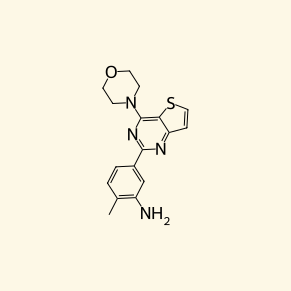 Cc1ccc(-c2nc(N3CCOCC3)c3sccc3n2)cc1N